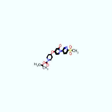 CC(C)OC(=O)N1CCC(Oc2ccn(-c3ccc(S(C)(=O)=O)nc3)c(=O)c2)CC1